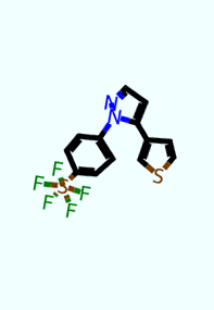 FS(F)(F)(F)(F)c1ccc(-n2nccc2-c2ccsc2)cc1